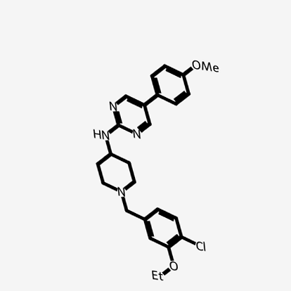 CCOc1cc(CN2CCC(Nc3ncc(-c4ccc(OC)cc4)cn3)CC2)ccc1Cl